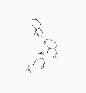 C=CCCC(C=O)NCc1cc(CCC2CCCCN2C)ccc1C=C